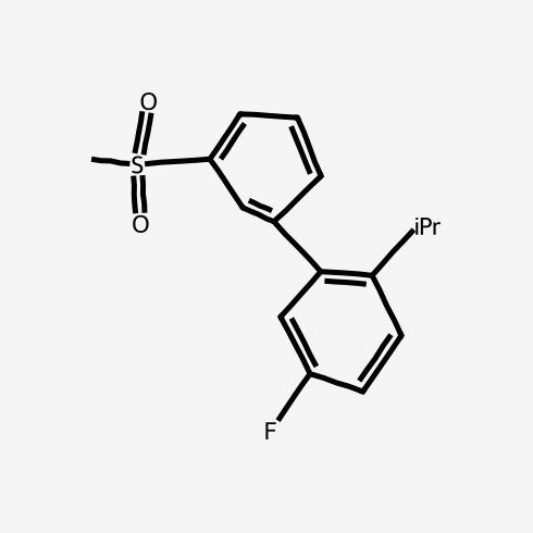 CC(C)c1ccc(F)cc1-c1cccc(S(C)(=O)=O)c1